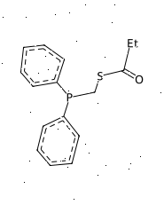 CCC(=O)SCP(c1ccccc1)c1ccccc1